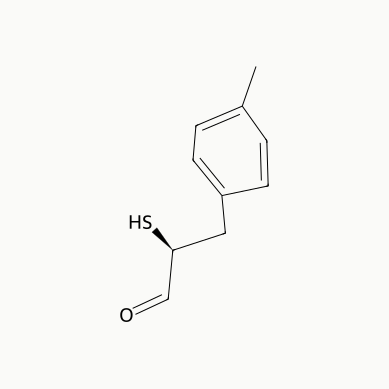 Cc1ccc(C[C@H](S)C=O)cc1